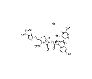 CNC(=O)c1nnc(SCC2=C(C(=O)[O-])N3C(=O)C(NC(=O)C(NC(=O)c4nnc(O)nc4O)c4ccc(O)cc4)[C@@H]3SC2)s1.[Na+]